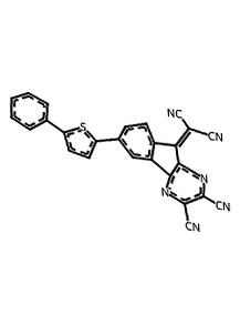 N#CC(C#N)=C1c2ccc(-c3ccc(-c4ccccc4)s3)cc2-c2nc(C#N)c(C#N)nc21